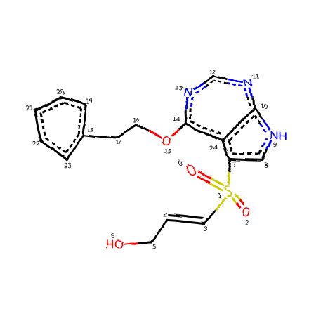 O=S(=O)(C=CCO)c1c[nH]c2ncnc(OCCc3ccccc3)c12